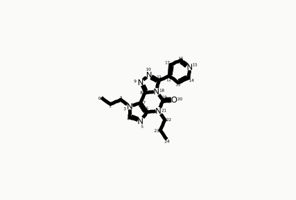 CCCn1cnc2c1c1nnc(-c3ccncc3)n1c(=O)n2CCC